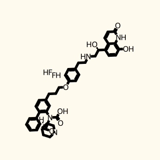 F.F.O=C(O)N(c1cc(CCCOc2ccc(CCNC[C@@H](O)c3ccc(O)c4[nH]c(=O)ccc34)cc2)ccc1-c1ccccc1)[C@H]1CN2CCC1CC2